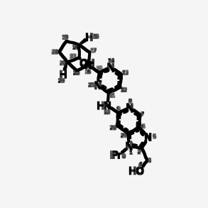 CC(C)n1c(CO)nc2cnc(Nc3ccnc(N4C[C@H]5CC[C@@H](C4)C5O)n3)cc21